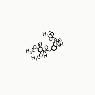 COC(=O)CN1Cc2cc(CC(=O)Nc3cc(Cl)c(OC)cc3OC)ccc2NC1=O